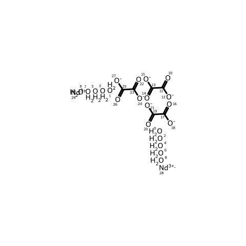 O.O.O.O.O.O.O.O.O.O.O=C([O-])C(=O)[O-].O=C([O-])C(=O)[O-].O=C([O-])C(=O)[O-].[Nd+3].[Nd+3]